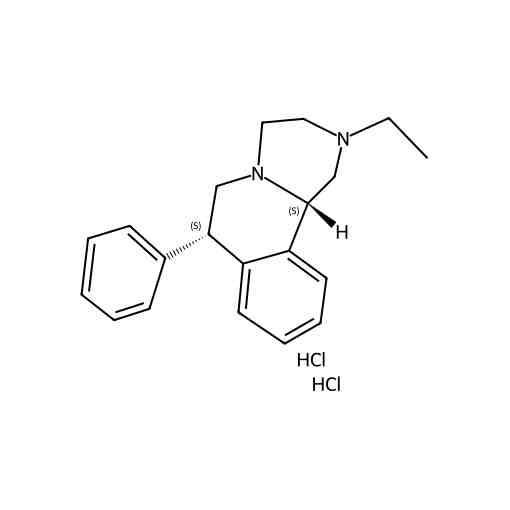 CCN1CCN2C[C@@H](c3ccccc3)c3ccccc3[C@H]2C1.Cl.Cl